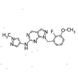 COc1cccc(Cn2ncc3cnc(Nc4cnn(C)c4)nc32)c1F